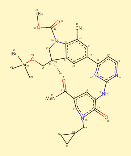 CNC(=O)c1cc(Nc2nccc(-c3cc(C#N)c4c(c3)[C@@](C)(CO[Si](C)(C)C(C)(C)C)CN4C(=O)OC(C)(C)C)n2)c(=O)n(CC2CC2)c1